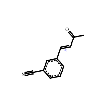 CC(=O)/C=C/c1cccc(C#N)c1